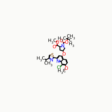 COC(=O)C1CC(Oc2cc(-c3nc(C(C)C)cs3)nc3c(Cl)c(OC)ccc23)CN1C(=O)OC(C)(C)C